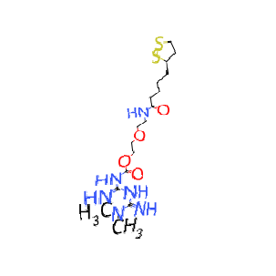 CN(C)C(=N)NC(=N)NC(=O)OCCOCCNC(=O)CCCC[C@@H]1CCSS1